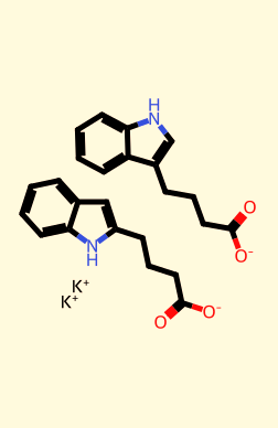 O=C([O-])CCCc1c[nH]c2ccccc12.O=C([O-])CCCc1cc2ccccc2[nH]1.[K+].[K+]